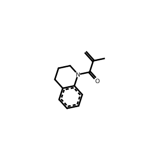 C=C(C)C(=O)N1CCCc2ccccc21